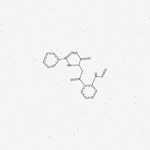 O=CNc1ccccc1C(=O)CC(NC(=O)c1ccccc1)C(=O)O